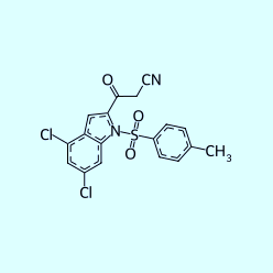 Cc1ccc(S(=O)(=O)n2c(C(=O)CC#N)cc3c(Cl)cc(Cl)cc32)cc1